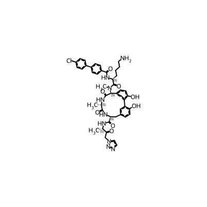 C[C@H](NC(=O)[C@@H]1Cc2ccc(O)c(c2)-c2cc(ccc2O)[C@H](N(C)C(=O)[C@H](CCCCN)NC(=O)c2ccc(-c3ccc(Cl)cc3)cc2)C(=O)N[C@@H](C)C(=O)N1)C(=O)Cn1ccnn1